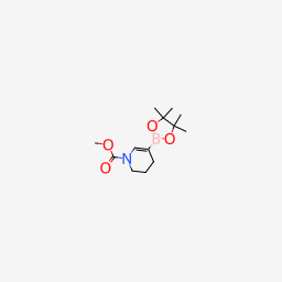 COC(=O)N1C=C(B2OC(C)(C)C(C)(C)O2)CCC1